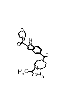 CC(C)N1CCCN(C(=O)c2ccc3[nH]c(C(=O)N4CCOCC4)cc3c2)CC1